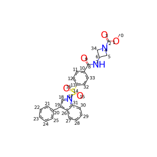 COC(=O)N1CC(NC(=O)c2ccc(S(=O)(=O)n3cc(-c4ccccc4)c4ccccc43)cc2)C1